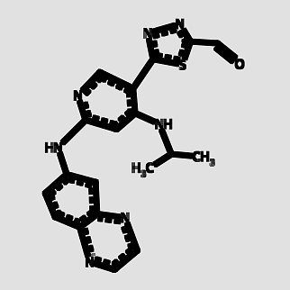 CC(C)Nc1cc(Nc2ccc3nccnc3c2)ncc1-c1nnc(C=O)s1